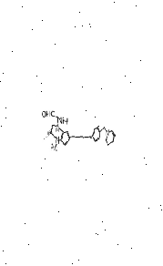 CC(=O)N1c2ccc(-c3ccc(CN4CCCCC4)cc3)cc2[C@@H](NC=O)C[C@H]1C